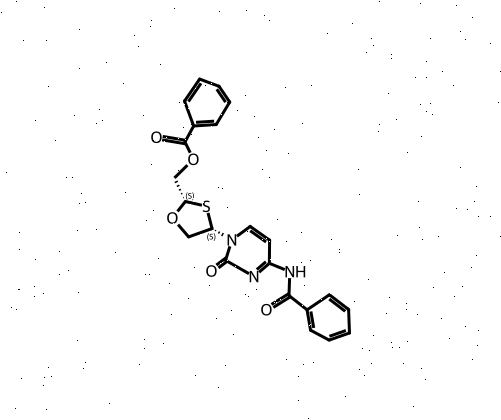 O=C(Nc1ccn([C@@H]2CO[C@H](COC(=O)c3ccccc3)S2)c(=O)n1)c1ccccc1